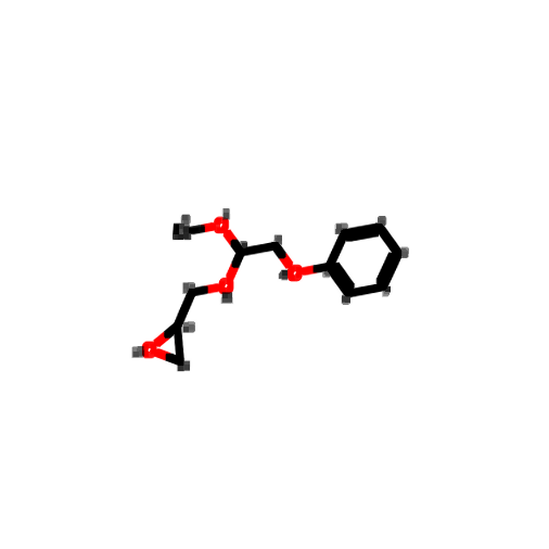 CCOC(COc1ccccc1)OCC1CO1